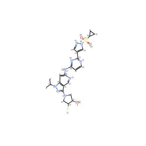 CC(C)n1nc(N2CC(O)C(F)C2)c2cnc(Nc3ccnc(-c4cnn(S(=O)(=O)C5CC5)c4)n3)cc21